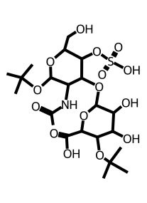 CC(=O)NC1C(OC(C)(C)C)OC(CO)C(OS(=O)(=O)O)C1OC1OC(C(=O)O)C(OC(C)(C)C)C(O)C1O